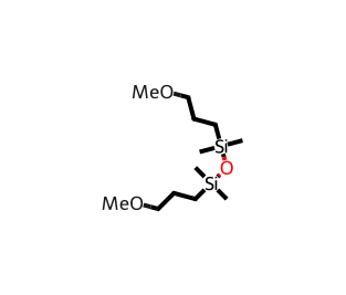 COCCC[Si](C)(C)O[Si](C)(C)CCCOC